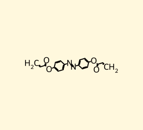 C=CC(=O)Oc1ccc(/N=N/c2ccc(OC(=O)C=C)cc2)cc1